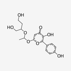 CC(Oc1cc(=O)c(O)c(-c2ccc(O)cc2)o1)OC(CO)CCO